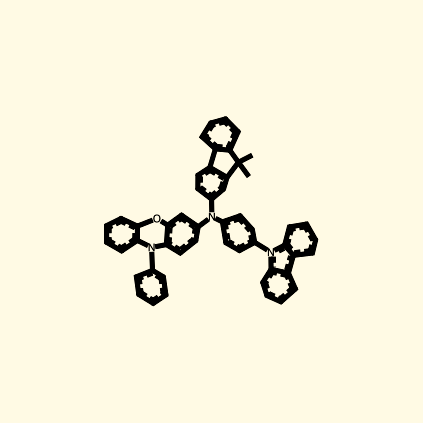 CC1(C)c2ccccc2-c2ccc(N(c3ccc(-n4c5ccccc5c5ccccc54)cc3)c3ccc4c(c3)Oc3ccccc3N4c3ccccc3)cc21